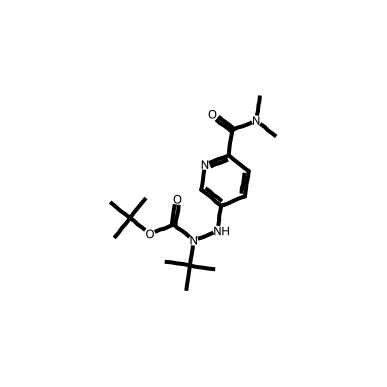 CN(C)C(=O)c1ccc(NN(C(=O)OC(C)(C)C)C(C)(C)C)cn1